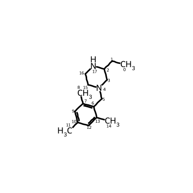 CCC1CN(Cc2c(C)cc(C)cc2C)CCN1